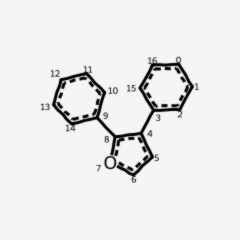 c1ccc(-c2ccoc2-c2ccccc2)cc1